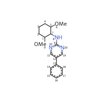 COC1CCCC(OC)C1Nc1ncc(-c2ccccc2)cn1